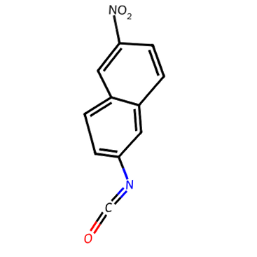 O=C=Nc1ccc2cc([N+](=O)[O-])ccc2c1